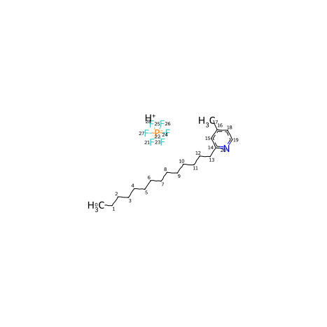 CCCCCCCCCCCCCCc1cc(C)ccn1.F[P-](F)(F)(F)(F)F.[H+]